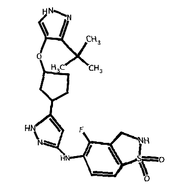 CC(C)(C)c1n[nH]cc1OC1CCC(c2cc(Nc3ccc4c(c3F)CNS4(=O)=O)n[nH]2)C1